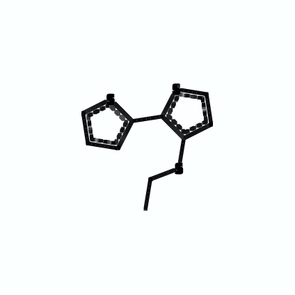 CCSc1ccsc1-c1cccs1